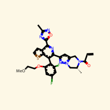 C=CC(=O)N1Cc2cc(-c3nc(-c4nc(C)no4)c4ccsc4c3-c3c(F)cc(F)cc3OCCOC)nn2C[C@H]1C